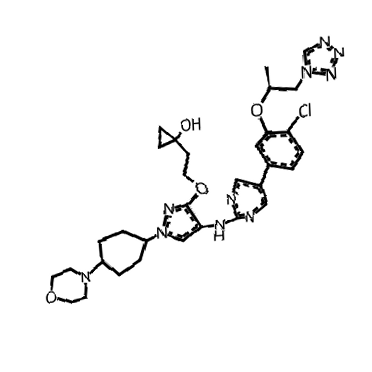 C[C@@H](Cn1cnnn1)Oc1cc(-c2cnc(Nc3cn(C4CCC(N5CCOCC5)CC4)nc3OCCC3(O)CC3)nc2)ccc1Cl